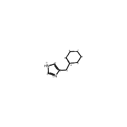 c1nc(CC2CCCCC2)c[nH]1